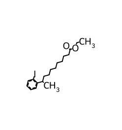 CCOC(=O)CCCCCCCCC(C)c1ccccc1I